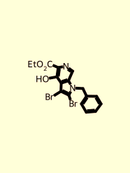 CCOC(=O)c1ncc2c(c1O)c(Br)c(Br)n2Cc1ccccc1